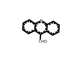 O=Cc1c2ccccc2nc2ccccc12